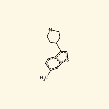 Cc1ccc2c(C3CC[N]CC3)csc2c1